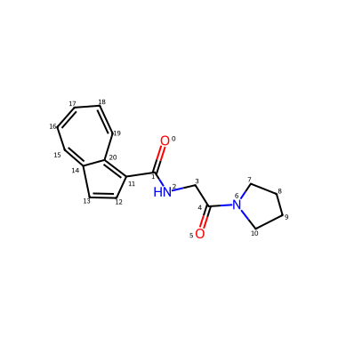 O=C(NCC(=O)N1CCCC1)c1ccc2cccccc1-2